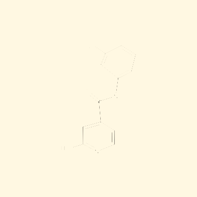 Cc1cc(C(=O)Nc2cccc(C(F)(F)F)c2)ccn1